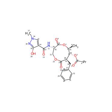 CC(C)C(=O)O[C@H]1[C@H](C)OC(=O)[C@@H](NC(=O)c2cn(C)nc2O)COC(=O)[C@@H]1Cc1ccccc1